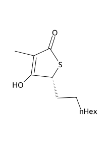 CCCCCCCC[C@H]1SC(=O)C(C)=C1O